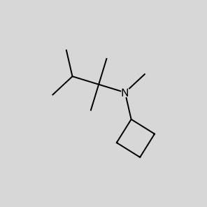 CC(C)C(C)(C)N(C)C1CCC1